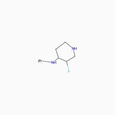 CC(C)NC1CCNCC1F